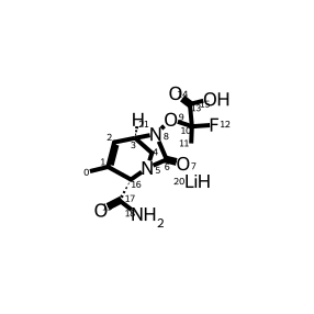 CC1=C[C@@H]2CN(C(=O)N2OC(C)(F)C(=O)O)[C@@H]1C(N)=O.[LiH]